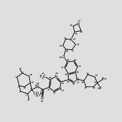 CC1CC2CC(C)C(NC(=O)c3cnc(-c4cn(C5CCC(F)(F)CC5)c5ccc(OC6CCN(C7COC7)CC6)cc45)nc3C(F)(F)F)(C(=O)O)C(C1)C2